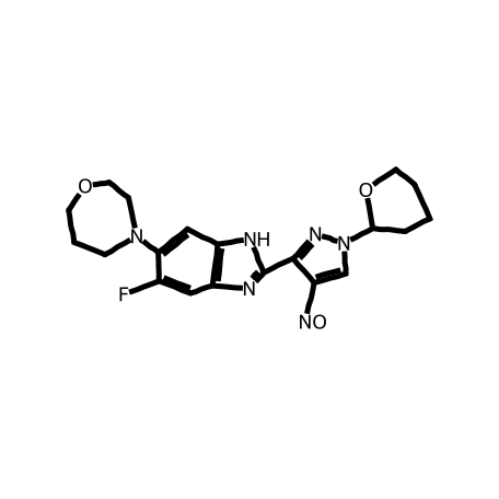 O=Nc1cn(C2CCCCO2)nc1-c1nc2cc(F)c(N3CCCOCC3)cc2[nH]1